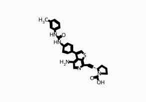 Cc1cccc(NC(=O)Nc2ccc(-c3csc4c(C#C[C@@H]5CCCN5C(=O)O)ncc(N)c34)cc2)c1